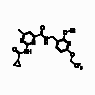 CCOc1nc(OCC(F)(F)F)ccc1CNC(=O)c1cc(C)nc(NC(=O)C2CC2)n1